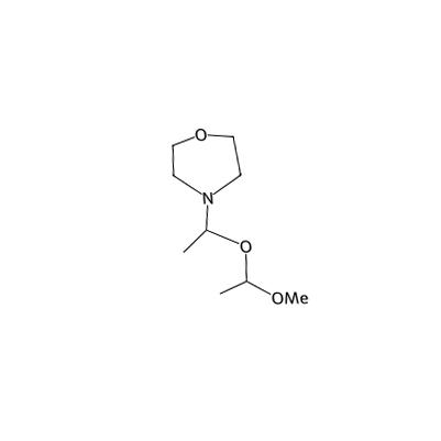 COC(C)OC(C)N1CCOCC1